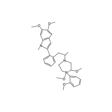 COc1cc2cc(-c3ccccc3CC(C)N3CC[N+](OC)(c4ccccc4OC)C(OC)C3)n(C)c2cc1OC